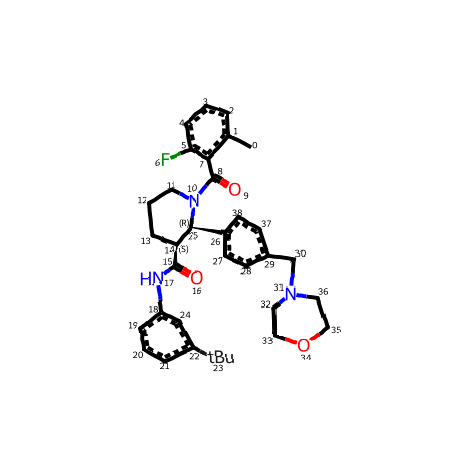 Cc1cccc(F)c1C(=O)N1CCC[C@H](C(=O)Nc2cccc(C(C)(C)C)c2)[C@@H]1c1ccc(CN2CCOCC2)cc1